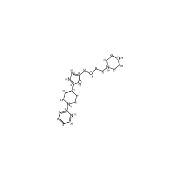 c1ccc(N2CCC(c3nnc(COCCN4CCOCC4)o3)CC2)nc1